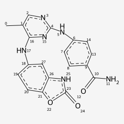 Cc1cnc(Nc2ccc(C(N)=O)cc2)nc1Nc1ccc2oc(=O)[nH]c2c1